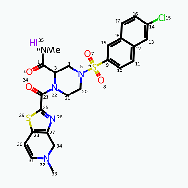 CNC(=O)C1CN(S(=O)(=O)c2ccc3cc(Cl)ccc3c2)CCN1C(=O)c1nc2c(s1)C=CN(C)C2.I